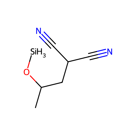 CC(CC(C#N)C#N)O[SiH3]